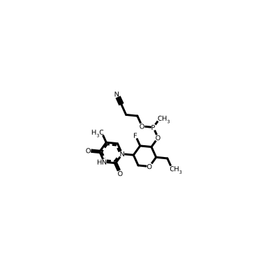 CCC1OCC(n2cc(C)c(=O)[nH]c2=O)C(F)C1OP(C)OCCC#N